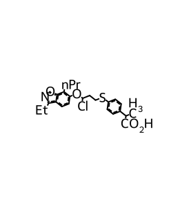 CCCc1c(OC(Cl)CCSc2ccc(C(C)C(=O)O)cc2)ccc2c(CC)noc12